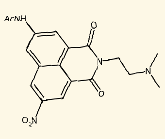 CC(=O)Nc1cc2c3c(cc([N+](=O)[O-])cc3c1)C(=O)N(CCN(C)C)C2=O